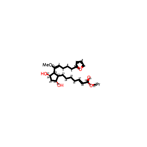 CO/C(=C/CCCc1ccco1)C1C(CCCCC=CC(=O)OC(C)C)[C@@H](O)C[C@H]1O